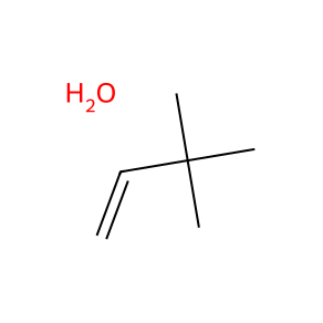 C=CC(C)(C)C.O